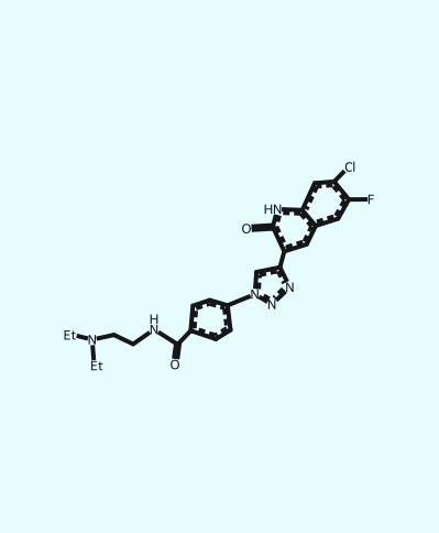 CCN(CC)CCNC(=O)c1ccc(-n2cc(-c3cc4cc(F)c(Cl)cc4[nH]c3=O)nn2)cc1